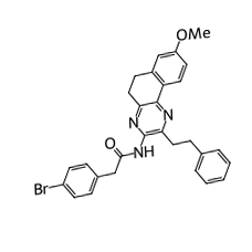 COc1ccc2c(c1)CCc1nc(NC(=O)Cc3ccc(Br)cc3)c(CCc3ccccc3)nc1-2